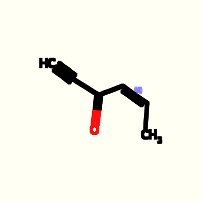 C#CC(=O)/C=C\C